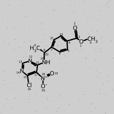 COC(=O)c1ccc([C@H](C)Nc2ncnc(Cl)c2[N+](=O)[O-])cc1